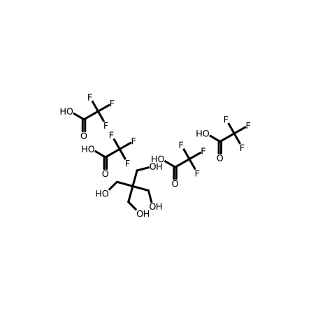 O=C(O)C(F)(F)F.O=C(O)C(F)(F)F.O=C(O)C(F)(F)F.O=C(O)C(F)(F)F.OCC(CO)(CO)CO